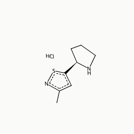 Cc1cc([C@H]2CCCN2)sn1.Cl